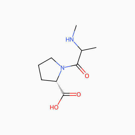 CNC(C)C(=O)N1CCC[C@H]1C(=O)O